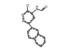 O=CNc1cc(-c2ccc3ccccc3c2)nnc1Cl